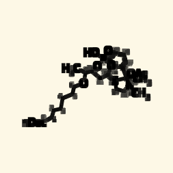 CCCCCCCCCCCCCCCCOC(C)CCC(OP(=O)([O-])O)=S1CC[N+](C)(C)C1(OC(C)=O)c1ccccc1